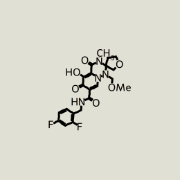 COCN1n2cc(C(=O)NCc3ccc(F)cc3F)c(=O)c(O)c2C(=O)N(C)C12CCOC2